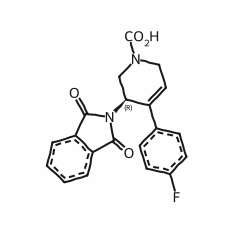 O=C(O)N1CC=C(c2ccc(F)cc2)[C@@H](N2C(=O)c3ccccc3C2=O)C1